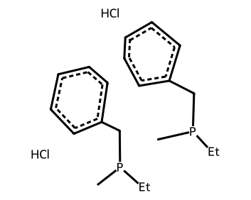 CCP(C)Cc1ccccc1.CCP(C)Cc1ccccc1.Cl.Cl